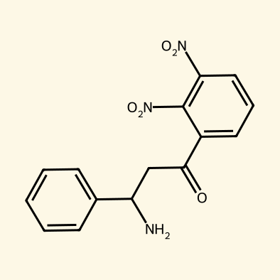 NC(CC(=O)c1cccc([N+](=O)[O-])c1[N+](=O)[O-])c1ccccc1